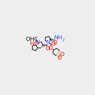 NC(=O)[C@@H]1CCC[N+]1(C(=O)OC1CCS(=O)(=O)CC1)C(=O)[C@H](CC1CCCC1)CN(O)C=O